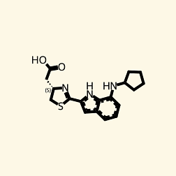 O=C(O)C[C@H]1CSC(c2cc3cccc(NC4CCCC4)c3[nH]2)=N1